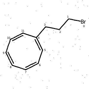 BrCCCC1=C/C=C\C=C/C=C\1